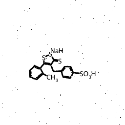 Cc1ccccc1-c1ssc(=S)c1Cc1ccc(S(=O)(=O)O)cc1.[NaH]